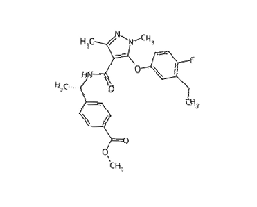 CCc1cc(Oc2c(C(=O)N[C@@H](C)c3ccc(C(=O)OC)cc3)c(C)nn2C)ccc1F